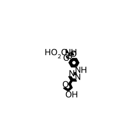 O=C(O)NS(=O)(=O)c1ccc(Nc2ncc(C3CC(O)CO3)cn2)cc1